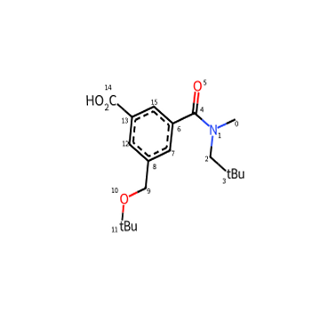 CN(CC(C)(C)C)C(=O)c1cc(COC(C)(C)C)cc(C(=O)O)c1